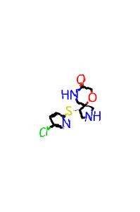 O=C1CO[C@@]2(CNC[C@@H]2Sc2ccc(Cl)cn2)CN1